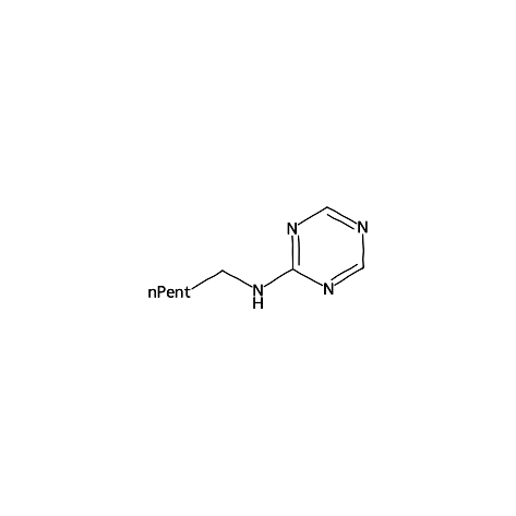 CCCCCCNc1ncncn1